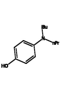 CCCN(c1ccc(O)cc1)C(C)CC